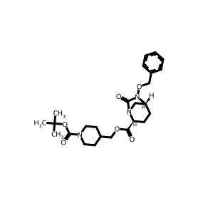 CC(C)(C)OC(=O)N1CCC(COC(=O)[C@@H]2CC[C@@H]3CN2C(=O)N3OCc2ccccc2)CC1